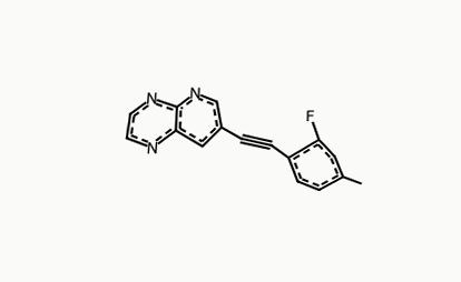 Cc1ccc(C#Cc2cnc3nccnc3c2)c(F)c1